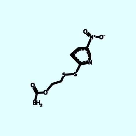 BC(=O)OCCSSc1ccc([N+](=O)[O-])cn1